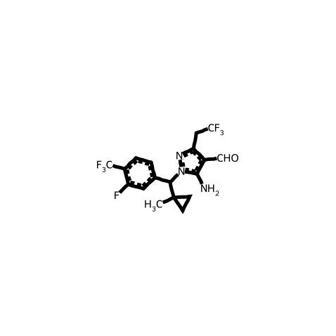 CC1(C(c2ccc(C(F)(F)F)c(F)c2)n2nc(CC(F)(F)F)c(C=O)c2N)CC1